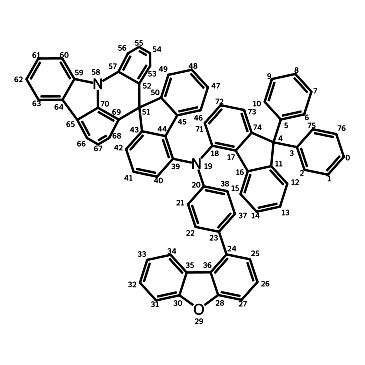 c1ccc(C2(c3ccccc3)c3ccccc3-c3c(N(c4ccc(-c5cccc6oc7ccccc7c56)cc4)c4cccc5c4-c4ccccc4C54c5ccccc5-n5c6ccccc6c6cccc4c65)cccc32)cc1